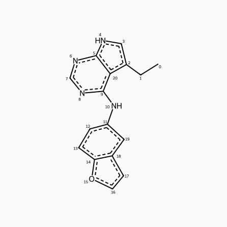 CCc1c[nH]c2ncnc(Nc3ccc4occc4c3)c12